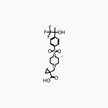 C[C@@H]1CN(CC2(C(=O)O)CC2)CCN1S(=O)(=O)c1ccc(C(C)(O)C(F)(F)F)cc1